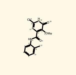 COc1c(C(=O)Nc2ccccc2I)nc(Cl)[nH]c1=O